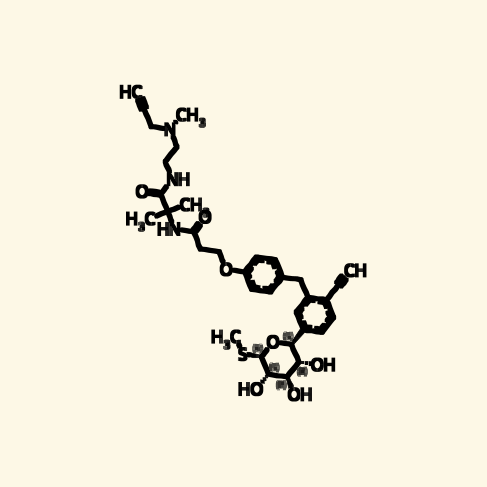 C#CCN(C)CCNC(=O)C(C)(C)NC(=O)CCOc1ccc(Cc2cc([C@@H]3O[C@H](SC)[C@@H](O)[C@H](O)[C@H]3O)ccc2C#C)cc1